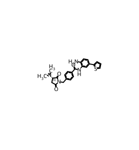 CN(C)[C@H]1CC(=O)N(Cc2ccc(C(=O)Nc3cc(-c4cccs4)ccc3N)cc2)C1=O